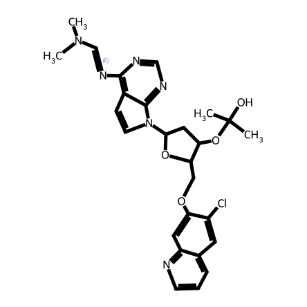 CN(C)/C=N/c1ncnc2c1ccn2C1CC(OC(C)(C)O)C(COc2cc3ncccc3cc2Cl)O1